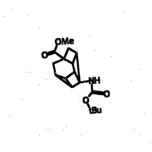 COC(=O)C12CC3C4C3C3(NC(=O)OC(C)(C)C)C(C1)C2C43